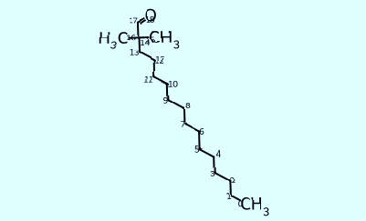 CCCCCCCCCCCCCCC(C)(C)C=O